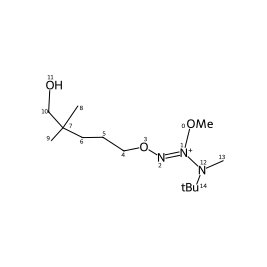 CO/[N+](=N\OCCCC(C)(C)CO)N(C)C(C)(C)C